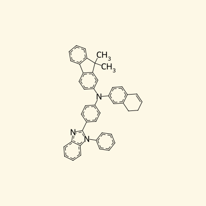 CC1(C)c2ccccc2-c2ccc(N(c3ccc(-c4nc5ccccc5n4-c4ccccc4)cc3)c3ccc4c(c3)CCC=C4)cc21